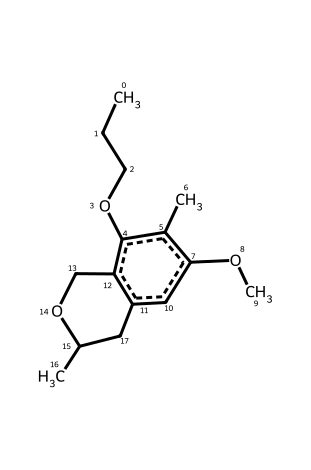 CCCOc1c(C)c(OC)cc2c1COC(C)C2